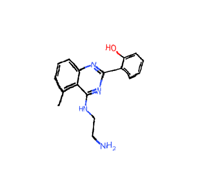 Cc1cccc2nc(-c3ccccc3O)nc(NCCN)c12